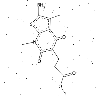 Bc1sc2c(c1C)c(=O)n(CCC(=O)OC)c(=O)n2C